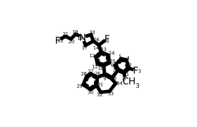 Cc1c(F)cccc1C1=C(c2ccc(C(F)C3CN(CCCF)C3)cc2)c2ccccc2CCC1